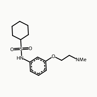 CNCCOc1cccc(NS(=O)(=O)C2CCCCC2)c1